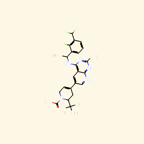 Cc1nc(NC(C)c2cccc(C(F)F)c2F)c2cc(C3=CCN(C(=O)O)C(C(C)(C)C)C3)cnc2n1